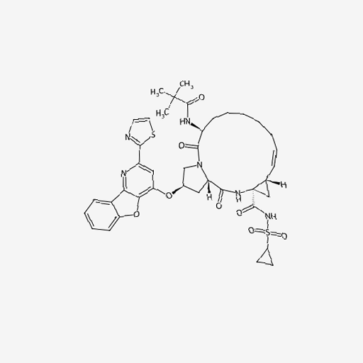 CC(C)(C)C(=O)N[C@H]1CCCCC/C=C\[C@@H]2C[C@@]2(C(=O)NS(=O)(=O)C2CC2)NC(=O)[C@@H]2C[C@@H](Oc3cc(-c4nccs4)nc4c3oc3ccccc34)CN2C1=O